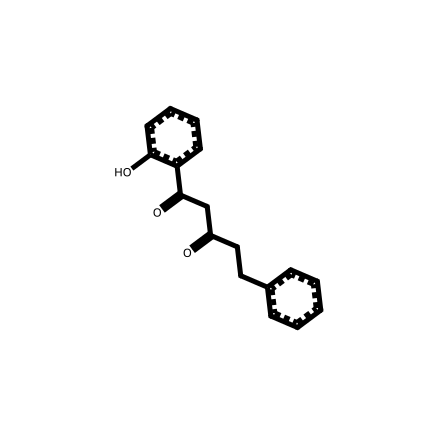 O=C(CCc1ccccc1)CC(=O)c1ccccc1O